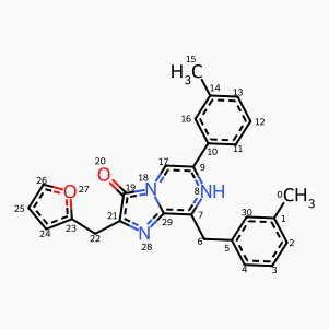 Cc1cccc(Cc2[nH]c(-c3cccc(C)c3)cn3c(=O)c(Cc4ccco4)nc2-3)c1